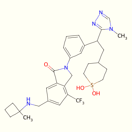 Cn1cnnc1C(CC1CCS(O)(O)CC1)c1cccc(N2Cc3c(cc(CNC4(C)CCC4)cc3C(F)(F)F)C2=O)c1